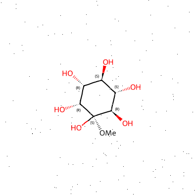 CO[C@]1(O)[C@H](O)[C@H](O)[C@@H](O)[C@H](O)[C@H]1O